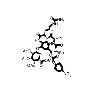 COC(=O)[C@H]1O[C@@H](Oc2cc(COC(=O)Oc3ccc([N+](=O)[O-])cc3)ccc2NC(=O)[C@H](CCCNC(N)=O)NC(=O)[C@@H](NC(=O)OC(C)(C)C)C(C)C)[C@H](OC(C)=O)[C@@H](OC(C)=O)[C@@H]1OC(C)=O